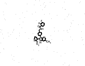 Cc1cnc2c(c1)NC(c1cccnc1N)N2c1ccc(CNC(=O)c2cccc(F)c2F)cc1